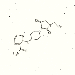 CC(C)CN1CC(=O)N([C@H]2CC[C@H](Oc3ncccc3C(N)=O)CC2)C1=O